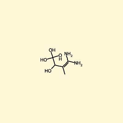 CC(=C(N)N)C(O)C(O)(O)O